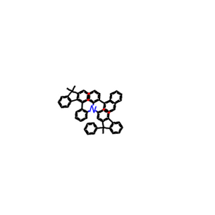 CC1(C)c2ccccc2-c2c(-c3ccccc3N(c3ccc4c(c3)C(C)(c3ccccc3)c3ccccc3-4)c3ccccc3-c3cccc4ccccc34)cccc21